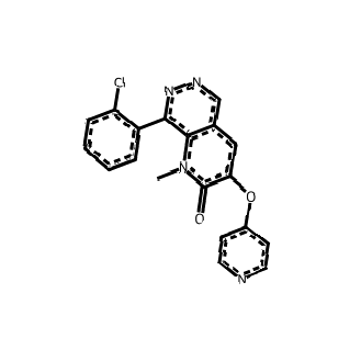 Cn1c(=O)c(Oc2ccncc2)cc2cnnc(-c3ccccc3Cl)c21